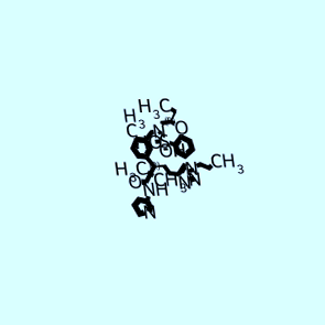 CCCn1cc(CC[C@H](c2ccc(C)c(CN3C[C@@H](CC)Oc4ccccc4S3(O)O)c2)C(C)(C)C(=O)Nc2cccnc2)nn1